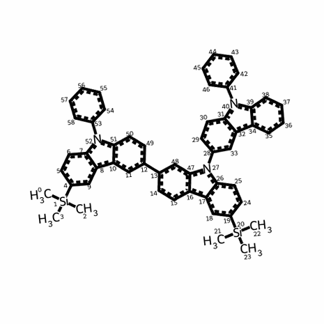 C[Si](C)(C)c1ccc2c(c1)c1cc(-c3ccc4c5cc([Si](C)(C)C)ccc5n(-c5ccc6c(c5)c5ccccc5n6-c5ccccc5)c4c3)ccc1n2-c1ccccc1